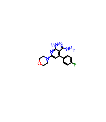 Nc1n[nH]c2nc(N3CCOCC3)cc(-c3ccc(F)cc3)c12